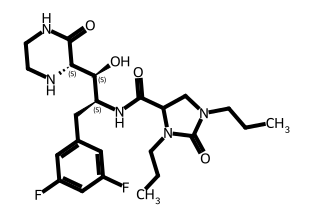 CCCN1CC(C(=O)N[C@@H](Cc2cc(F)cc(F)c2)[C@H](O)[C@@H]2NCCNC2=O)N(CCC)C1=O